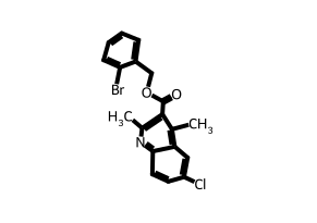 Cc1nc2ccc(Cl)cc2c(C)c1C(=O)OCc1ccccc1Br